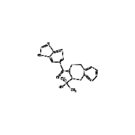 CC(C)(O)C1Cc2ccccc2CCN1C(=O)c1ccc2nc[nH]c2c1